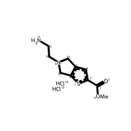 COC(=O)c1cc2c(s1)CN(CCN)C2.Cl.Cl